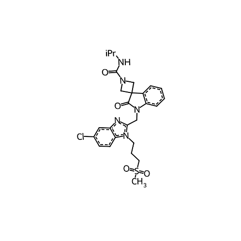 CC(C)NC(=O)N1CC2(C1)C(=O)N(Cc1nc3cc(Cl)ccc3n1CCCS(C)(=O)=O)c1ccccc12